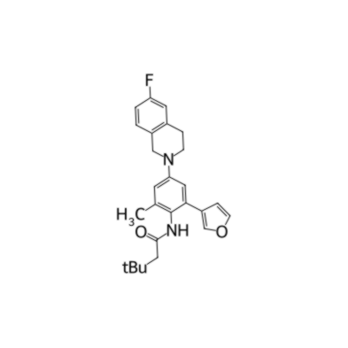 Cc1cc(N2CCc3cc(F)ccc3C2)cc(-c2ccoc2)c1NC(=O)CC(C)(C)C